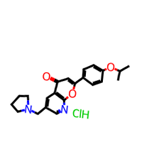 CC(C)Oc1ccc(-c2cc(=O)c3cc(CN4CCCC4)cnc3o2)cc1.Cl